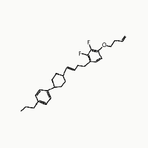 C=CCCOc1ccc(CC/C=C/C2CCC(c3ccc(CCC)cc3)CC2)c(F)c1F